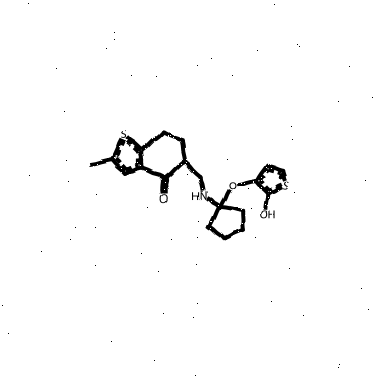 Cc1cc2c(s1)CCC(CNC1(Oc3ccsc3O)CCCC1)C2=O